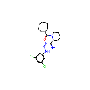 N=C(/N=N\Nc1cc(Cl)cc(Cl)c1)C1CCCCN1C(=O)C1CCCCCC1